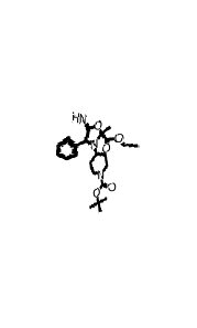 CCOC(=O)C1(C)OC(=N)C(c2ccccc2)N1C1CCN(C(=O)OC(C)(C)C)CC1